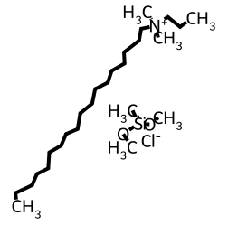 CCCCCCCCCCCCCCCCCC[N+](C)(C)CCC.CO[Si](C)OC.[Cl-]